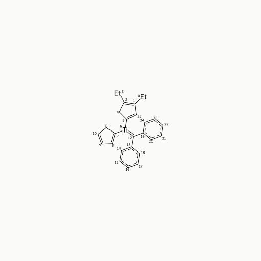 CCC1=C(CC)C[C]([Ti]([C]2=CC=CC2)=[C](c2ccccc2)c2ccccc2)=C1